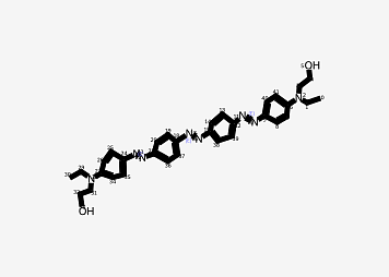 CCN(CCO)c1ccc(/N=N/c2ccc(/N=N/c3ccc(/N=N/c4ccc(N(CC)CCO)cc4)cc3)cc2)cc1